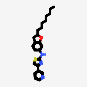 CCCCCCCCC1Cc2ccc(Nc3nc(-c4cccnc4)cs3)cc2O1